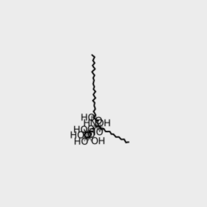 CCCCCCCCCCCCCCCCCCCCCC[C@@H](O)C(=O)N[C@@H](CO[C@@H]1O[C@H](CO)[C@H](O)[C@H](O)[C@H]1O)[C@H](O)[C@H](O)CCCCCCCCCCC